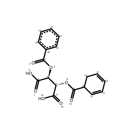 O=C(O[C@H](C(=O)O)[C@H](OC(=O)C1C=CC=CC1)C(=O)O)c1ccccc1